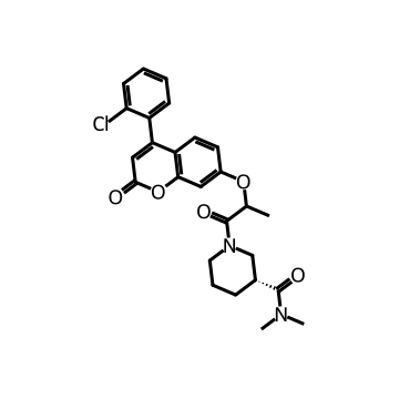 CC(Oc1ccc2c(-c3ccccc3Cl)cc(=O)oc2c1)C(=O)N1CCC[C@@H](C(=O)N(C)C)C1